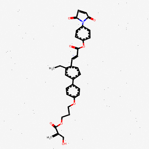 C=C(CO)C(=O)OCCCOc1ccc(-c2ccc(/C=C/C(=O)Oc3ccc(N4C(=O)C=CC4=O)cc3)c(CC)c2)cc1